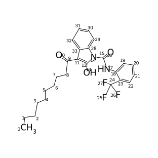 CCCCCCCCCC(=O)c1c(O)n(C(=O)Nc2ccccc2C(F)(F)F)c2ccccc12